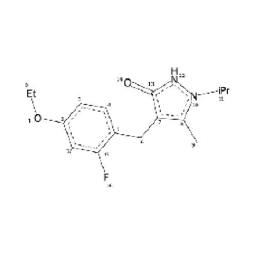 CCOc1ccc(Cc2c(C)n(C(C)C)[nH]c2=O)c(F)c1